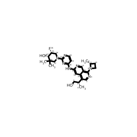 C[C@H](CO)c1cnc(N2CC[C@H]2C)c2cnc(Nc3ccnc(N4C[C@@H](F)[C@@H](O)C(C)(C)C4)n3)cc12